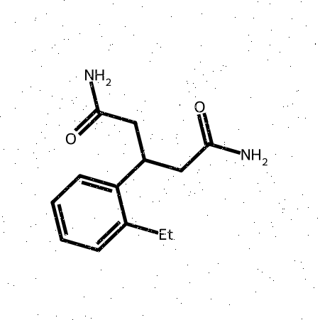 CCc1ccccc1C(CC(N)=O)CC(N)=O